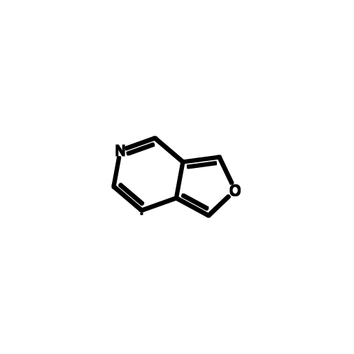 [c]1cncc2cocc12